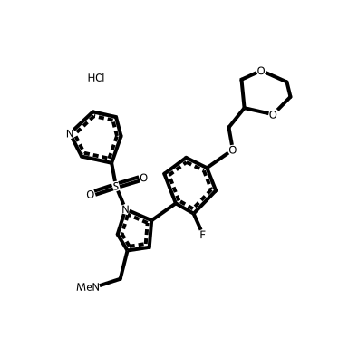 CNCc1cc(-c2ccc(OCC3COCCO3)cc2F)n(S(=O)(=O)c2cccnc2)c1.Cl